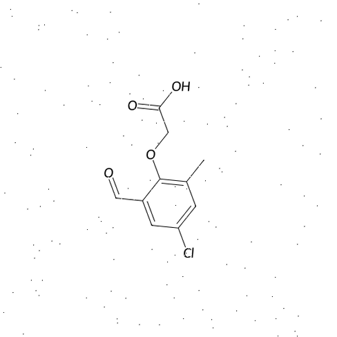 Cc1cc(Cl)cc(C=O)c1OCC(=O)O